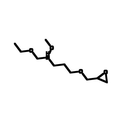 CCOC[SiH](CCCOCC1CO1)OC